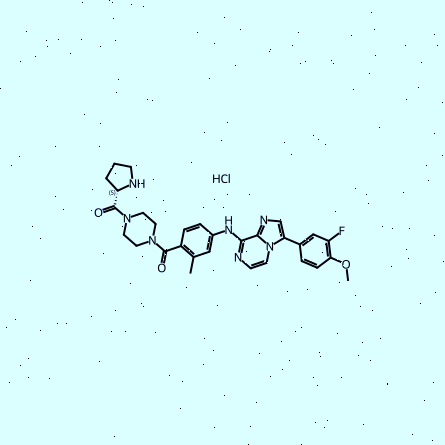 COc1ccc(-c2cnc3c(Nc4ccc(C(=O)N5CCN(C(=O)[C@@H]6CCCN6)CC5)c(C)c4)nccn23)cc1F.Cl